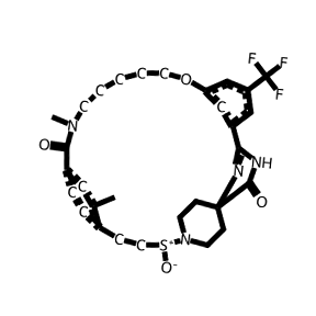 Cc1cc2ccc1CC[S+]([O-])N1CCC3(CC1)N=C(NC3=O)c1cc(cc(C(F)(F)F)c1)OCCCCCN(C)C2=O